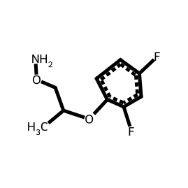 CC(CON)Oc1ccc(F)cc1F